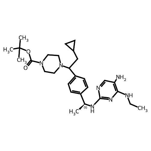 CCNc1nc(N[C@@H](C)c2ccc(C(CC3CC3)N3CCN(C(=O)OC(C)(C)C)CC3)cc2)ncc1N